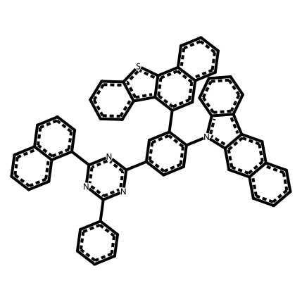 c1ccc(-c2nc(-c3ccc(-n4c5ccccc5c5cc6ccccc6cc54)c(-c4cc5ccccc5c5sc6ccccc6c45)c3)nc(-c3cccc4ccccc34)n2)cc1